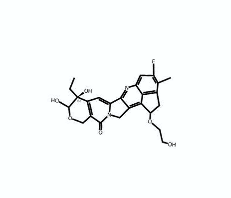 CC[C@]1(O)c2cc3n(c(=O)c2COC1O)Cc1c-3nc2cc(F)c(C)c3c2c1C(OCCO)C3